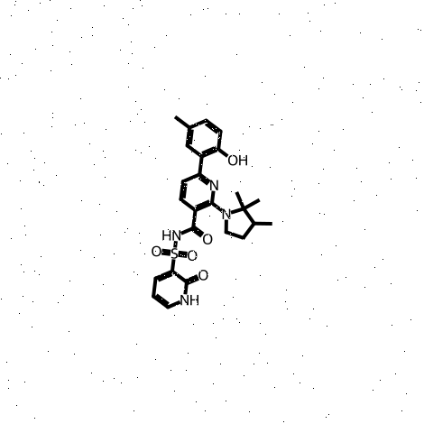 Cc1ccc(O)c(-c2ccc(C(=O)NS(=O)(=O)c3ccc[nH]c3=O)c(N3CCC(C)C3(C)C)n2)c1